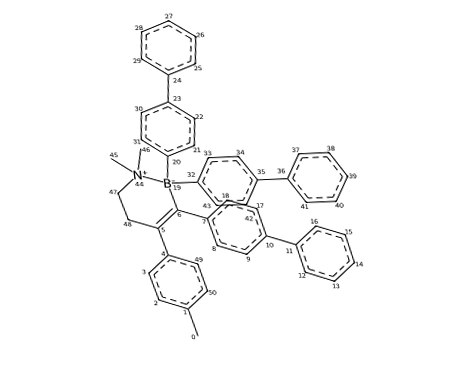 Cc1ccc(C2=C(c3ccc(-c4ccccc4)cc3)[B-](c3ccc(-c4ccccc4)cc3)(c3ccc(-c4ccccc4)cc3)[N+](C)(C)CC2)cc1